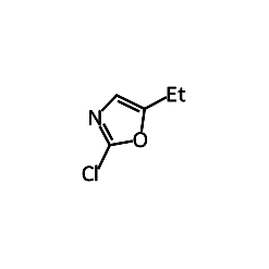 [CH2]Cc1cnc(Cl)o1